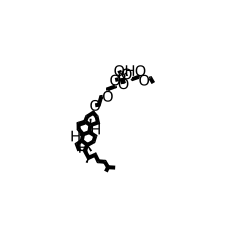 CCOC(=O)COP(=O)(O)OCCOCCO[C@H]1CC[C@@]2(C)C(=CC[C@H]3[C@@H]4CC[C@H]([C@H](C)CCCC(C)C)[C@@]4(C)CC[C@@H]32)C1